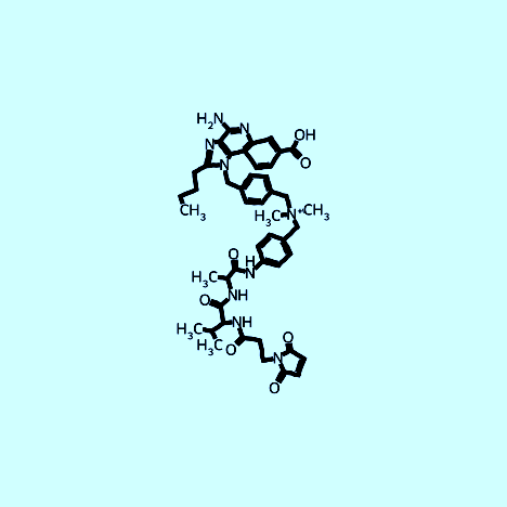 CCCCc1nc2c(N)nc3cc(C(=O)O)ccc3c2n1Cc1ccc(C[N+](C)(C)Cc2ccc(NC(=O)C(C)NC(=O)C(NC(=O)CCN3C(=O)C=CC3=O)C(C)C)cc2)cc1